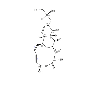 CC[C@H]1[C@@H]2C(=O)C3(Cl)C[C@H](/C=C\C=C\[C@H](C)OC(=O)[C@@H](S)C3=O)[C@@H]2C=C[C@@H]1C[C@](O)(S)CO